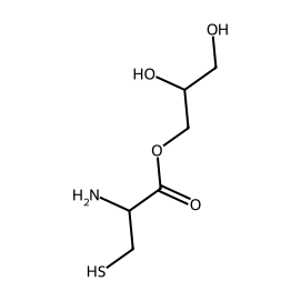 NC(CS)C(=O)OCC(O)CO